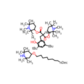 CCCCC(Cc1cc(C(C)(C)C)cc(C(C)(C)C)c1O)(C(=O)OC1CCC(C)(C)N(C)C1(C)C)C(=O)OC1CCC(C)(C)N(C)C1(C)C.CCCCCCCCCCCCCCCCCCOC1CC(C)(C)NC(C)(C)C1